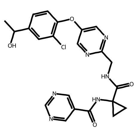 CC(O)c1ccc(Oc2cnc(CNC(=O)C3(NC(=O)c4cncnc4)CC3)nc2)c(Cl)c1